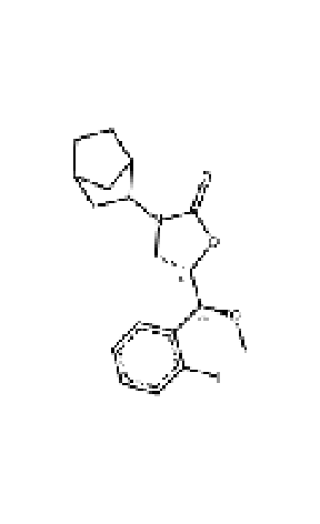 CO[C@@H](c1ccccc1I)[C@@H]1CN(C2CC3CCC2C3)C(=O)O1